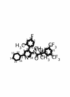 Cc1cc(F)ccc1-c1cc(C2CC[CH]CC2)ncc1N(C)C(=O)C(C)(C)c1cc(C(F)(F)F)cc(C(F)(F)F)c1